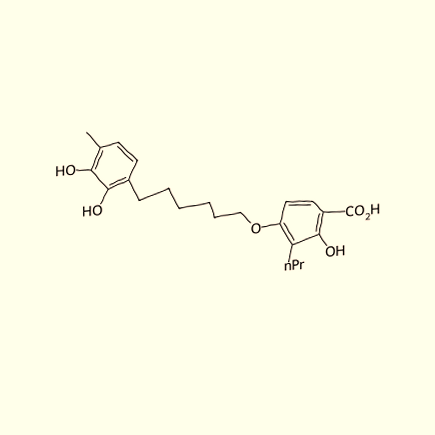 CCCc1c(OCCCCCCc2ccc(C)c(O)c2O)ccc(C(=O)O)c1O